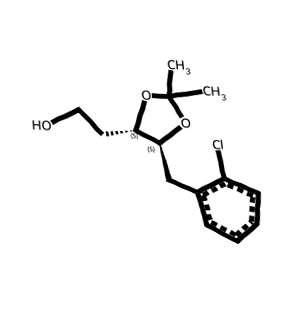 CC1(C)O[C@@H](CCO)[C@H](Cc2ccccc2Cl)O1